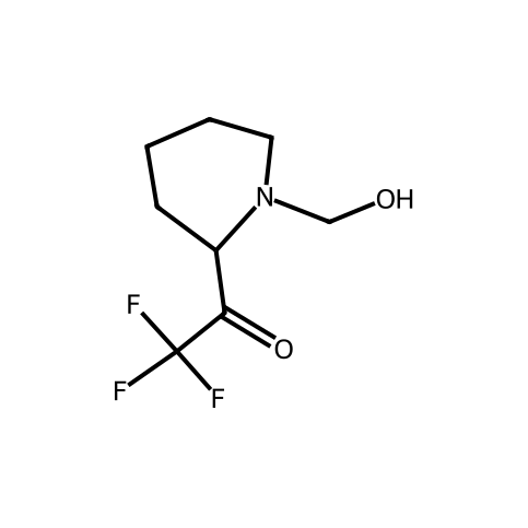 O=C(C1CCCCN1CO)C(F)(F)F